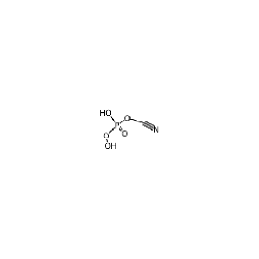 N#COP(=O)(O)OO